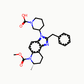 COC(=O)N1c2ccc3c(nc(Cc4ccccc4)n3C3CCCN(C(=O)O)C3)c2CC[C@@H]1C